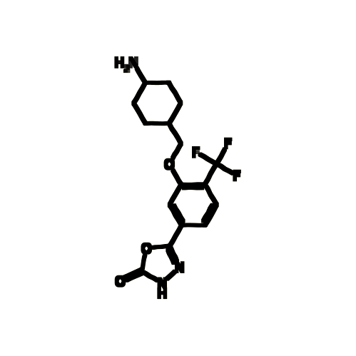 NC1CCC(COc2cc(-c3n[nH]c(=O)o3)ccc2C(F)(F)F)CC1